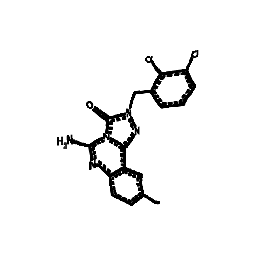 Cc1ccc2nc(N)n3c(=O)n(Cc4cccc(Cl)c4Cl)nc3c2c1